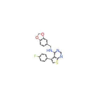 Fc1ccc(-c2csc3ncnc(NCc4ccc5c(c4)OCO5)c23)cc1